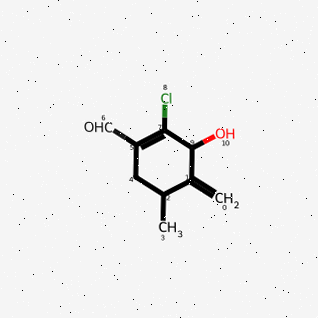 C=C1C(C)CC(C=O)=C(Cl)C1O